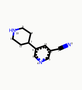 N#Cc1cncc(C2CCNCC2)c1